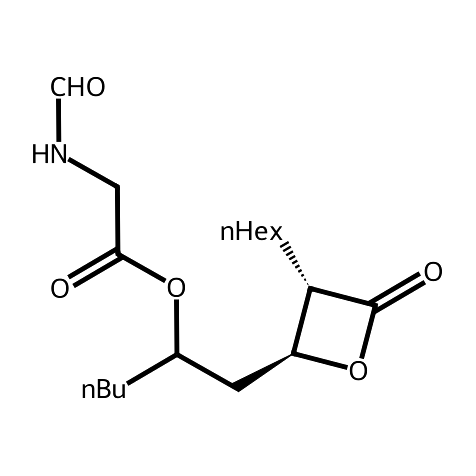 CCCCCC[C@@H]1C(=O)O[C@H]1CC(CCCC)OC(=O)CNC=O